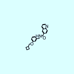 O=C(NCc1cccc(OCC2CCC2)c1)c1ccc2ncccc2c1